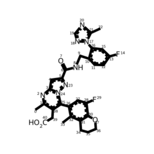 Cc1nc2cc(C(=O)NCc3ccc(F)cc3-n3ncnc3C)nn2c(-c2cc(F)c3c(c2C)CCCO3)c1CC(=O)O